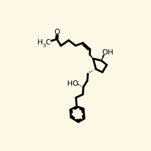 CC(=O)CCC/C=C\C[C@@H]1[C@@H](CC[C@@H](O)CCc2ccccc2)CC[C@@H]1O